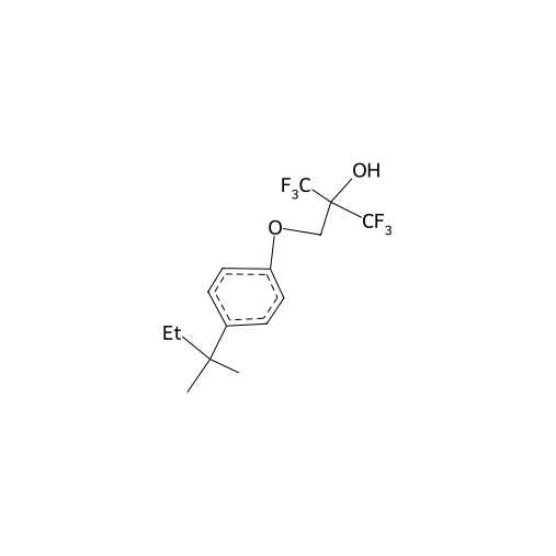 CCC(C)(C)c1ccc(OCC(O)(C(F)(F)F)C(F)(F)F)cc1